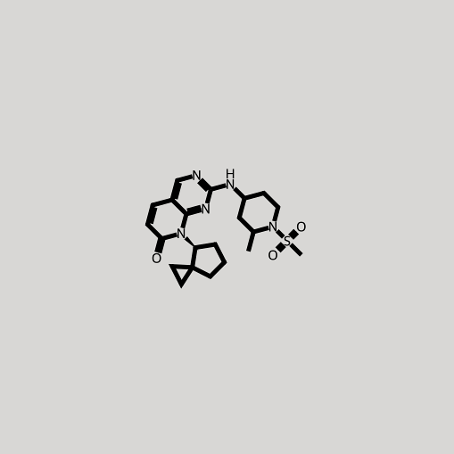 CC1CC(Nc2ncc3ccc(=O)n([C@H]4CCCC45CC5)c3n2)CCN1S(C)(=O)=O